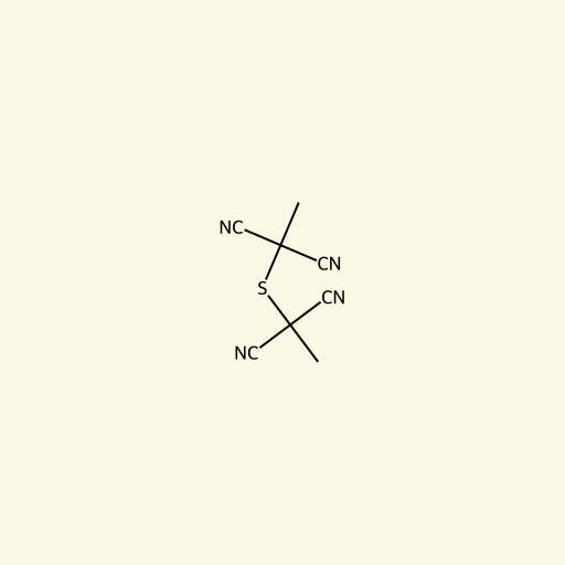 CC(C#N)(C#N)SC(C)(C#N)C#N